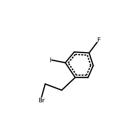 Fc1ccc(CCBr)c(I)c1